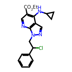 CCOC(=O)c1cnc2c(cnn2CC(Cl)c2ccccc2)c1NC1CC1